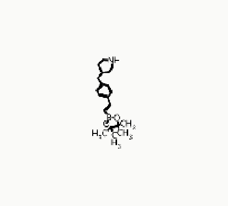 CC1(C)OB(/C=C/c2ccc(CC3CCNCC3)cc2)OC1(C)C